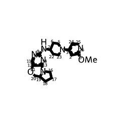 COc1cc(N2CCC(Nc3ncc4c(n3)N3CCCC3CO4)CC2)ccn1